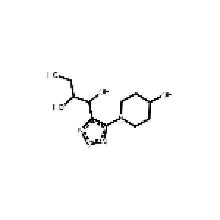 OCC(O)C(O)c1nsnc1N1CCC(O)CC1